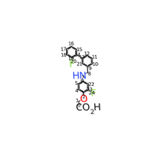 O=C(O)COc1ccc(NCc2cccc(-c3ccccc3F)c2)cc1F